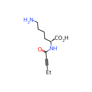 CCC#CC(=O)N[C@@H](CCCCN)C(=O)O